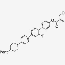 C=C(CO)C(=O)Oc1ccc(-c2ccc(-c3ccc(C4CCC(CCCCC)CC4)cc3)cc2F)cc1